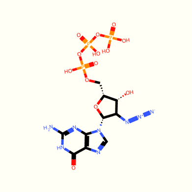 [N-]=[N+]=NC1[C@@H](O)[C@@H](COP(=O)(O)OP(=O)(O)OP(=O)(O)O)O[C@H]1n1cnc2c(=O)[nH]c(N)nc21